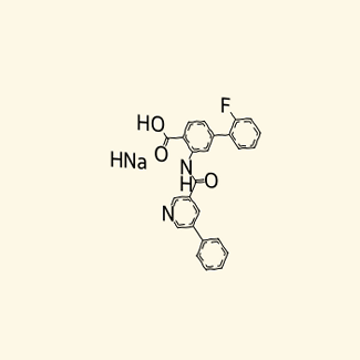 O=C(Nc1cc(-c2ccccc2F)ccc1C(=O)O)c1cncc(-c2ccccc2)c1.[NaH]